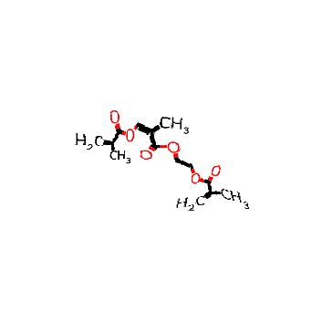 C=C(C)C(=O)OC=C(C)C(=O)OCCOC(=O)C(=C)C